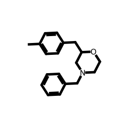 Cc1ccc(CC2CN(Cc3ccccc3)CCO2)cc1